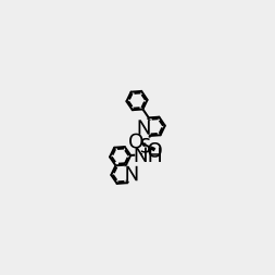 O=S(=O)(Nc1cccc2cccnc12)c1cccc(-c2ccccc2)n1